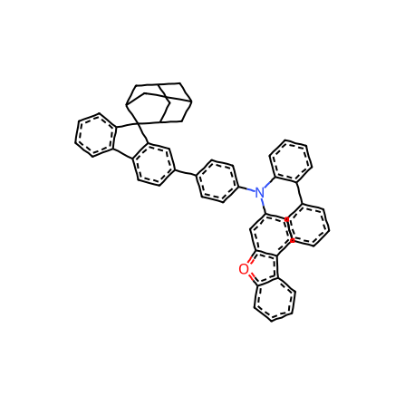 c1ccc(-c2ccccc2N(c2ccc(-c3ccc4c(c3)C3(c5ccccc5-4)C4CC5CC(C4)CC3C5)cc2)c2ccc3c(c2)oc2ccccc23)cc1